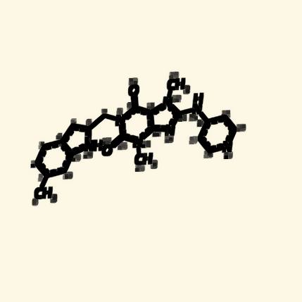 Cc1ccc2cc(Cn3c(=O)c4c(nc(Nc5ccncc5)n4C)n(C)c3=O)[nH]c2c1